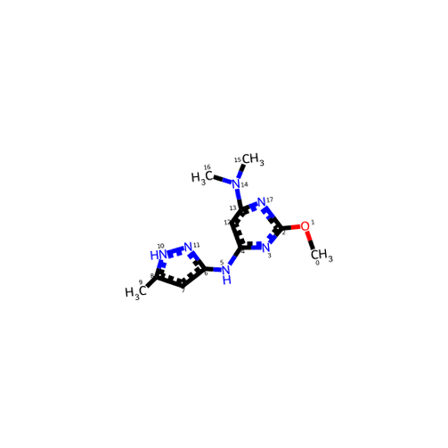 COc1nc(Nc2cc(C)[nH]n2)cc(N(C)C)n1